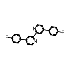 Fc1ccc(-c2ccnc(-c3cc(-c4ccc(F)cc4)ccn3)c2)cc1